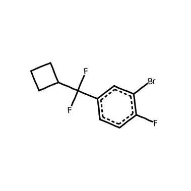 Fc1ccc(C(F)(F)C2CCC2)cc1Br